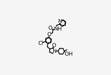 CC1(O)CCC(N2CCC(Cc3ccc(OCC(=O)NCc4ccccn4)cc3Cl)C2=O)CC1